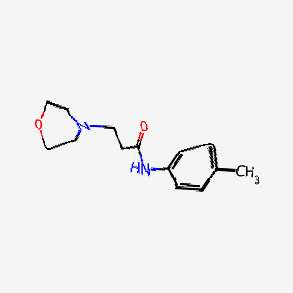 Cc1ccc(NC(=O)CCN2CCOCC2)cc1